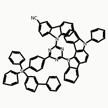 N#Cc1ccc2c(c1)c1ccccc1n2-c1nc(-c2ccc([Si](c3ccccc3)(c3ccccc3)c3cccc(-c4ccccc4)c3)cc2)nc(-n2c3ccccc3c3ccc4c(c5ccccc5n4-c4ccccc4)c32)n1